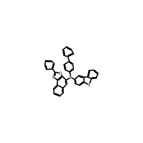 c1ccc(-c2ccc(N(c3ccc4sc5ccccc5c4c3)c3cc4ccccc4c4nc(-c5ccccc5)oc34)cc2)cc1